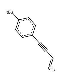 C=CC#Cc1ccc(C(C)(C)C)cc1